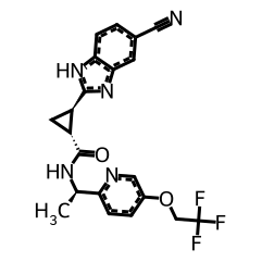 C[C@@H](NC(=O)[C@@H]1C[C@H]1c1nc2cc(C#N)ccc2[nH]1)c1ccc(OCC(F)(F)F)cn1